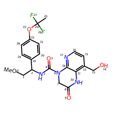 COCC(NC(=O)N1CC(=O)Nc2c(CO)ccnc21)c1ccc(OC(C)(F)F)cc1